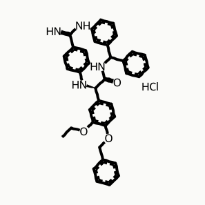 CCOc1cc([C@@H](Nc2ccc(C(=N)N)cc2)C(=O)NC(c2ccccc2)c2ccccc2)ccc1OCc1ccccc1.Cl